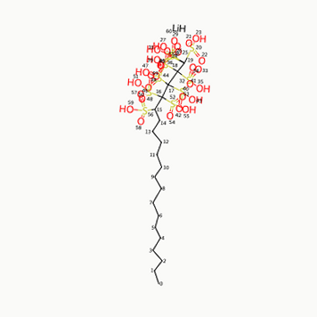 CCCCCCCCCCCCCCCC(C(C(C(C(S(=O)(=O)O)(S(=O)(=O)O)S(=O)(=O)O)(S(=O)(=O)O)S(=O)(=O)O)(S(=O)(=O)O)S(=O)(=O)O)(S(=O)(=O)O)S(=O)(=O)O)S(=O)(=O)O.[LiH]